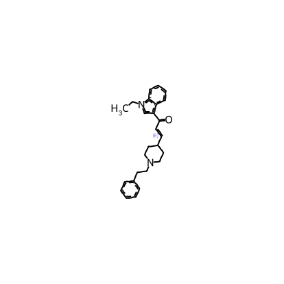 CCn1cc(C(=O)/C=C/C2CCN(CCc3ccccc3)CC2)c2ccccc21